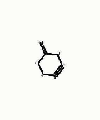 C=C1CC#CCC1